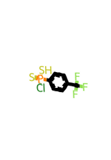 FC(F)(F)c1ccc(P(=S)(S)Cl)cc1